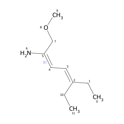 CCC(=C/C=C(/N)COC)CC